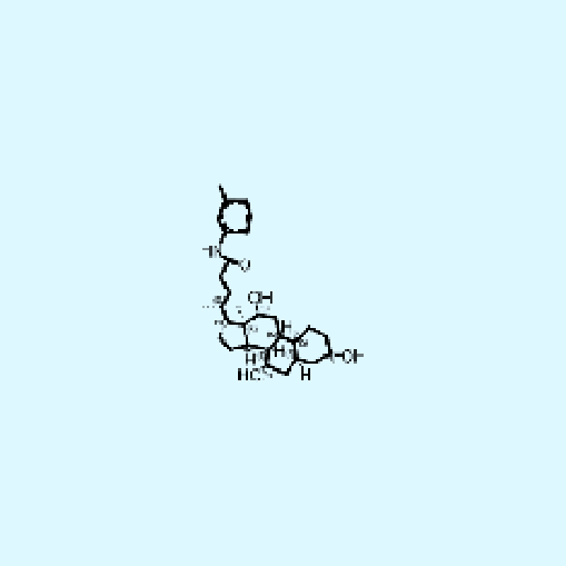 Cc1cccc(NC(=O)CC[C@@H](C)[C@H]2CC[C@H]3[C@@H]4[C@H](O)C[C@@H]5C[C@H](O)CC[C@]5(C)[C@H]4C[C@H](O)[C@]23C)c1